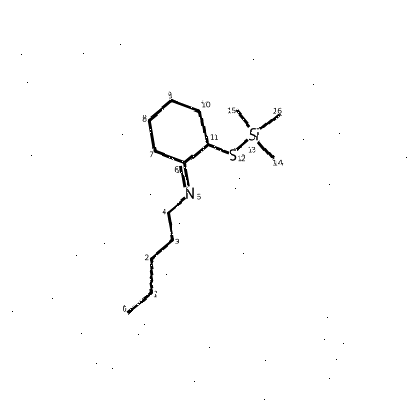 CCCCC/N=C1\CCCCC1S[Si](C)(C)C